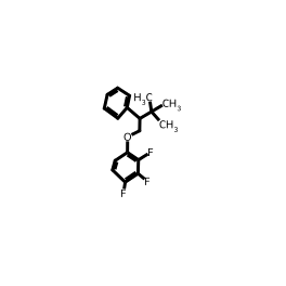 CC(C)(C)C(COc1ccc(F)c(F)c1F)c1ccccc1